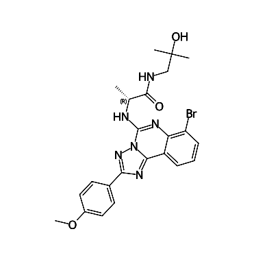 COc1ccc(-c2nc3c4cccc(Br)c4nc(N[C@H](C)C(=O)NCC(C)(C)O)n3n2)cc1